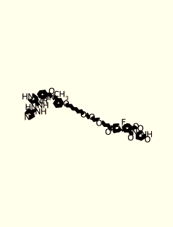 C[C@@H](NC(=O)c1cccc(NC2(C(=N)NC(=N)c3ccncc3)CCNCC2)c1)c1cccc(OCCCCCCOCCOCCOCCCC(=O)N2CCN(c3cc4c(cc3F)C(=O)N(C3CCC(=O)NC3=O)C4=O)CC2)c1